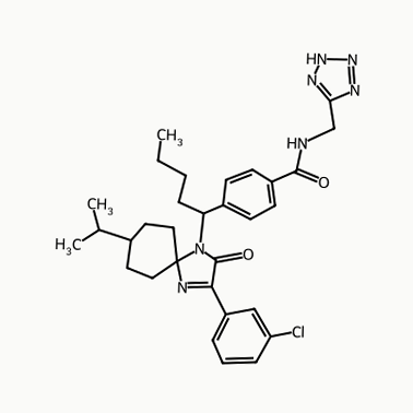 CCCCC(c1ccc(C(=O)NCc2nn[nH]n2)cc1)N1C(=O)C(c2cccc(Cl)c2)=NC12CCC(C(C)C)CC2